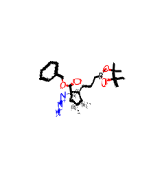 C[C@@H]1[C@H](C)C[C@@](N=[N+]=[N-])(C(=O)OCc2ccccc2)[C@H]1CCCB1OC(C)(C)C(C)(C)O1